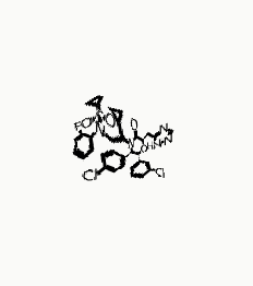 O=C1[C@@H](Cc2ncn[nH]2)O[C@H](c2cccc(Cl)c2)[C@@H](c2ccc(Cl)cc2)N1C(CN(c1ccccc1F)S(=O)(=O)C1CC1)C1CC1